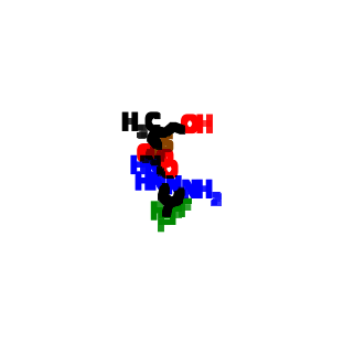 Cc1cc(S(=O)(=O)NC(=O)Nc2cc(C(F)(F)F)c(F)c(N)n2)sc1CCO